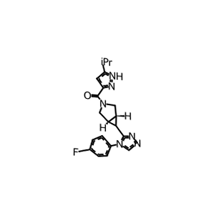 CC(C)c1cc(C(=O)N2C[C@@H]3C(c4nncn4-c4ccc(F)cc4)[C@@H]3C2)n[nH]1